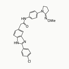 CON=C1CCCN1c1ccc(NC(=O)Cc2ccc3[nH]c(-c4ccc(Cl)cc4)nc3c2)cc1